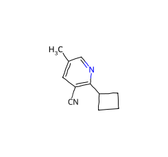 Cc1cnc(C2CCC2)c(C#N)c1